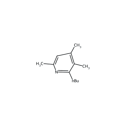 CCCCc1nc(C)cc(C)c1C